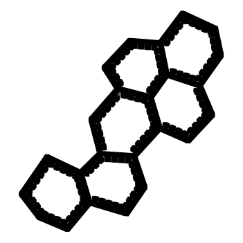 c1ccc2c(c1)ccc1c2cc2ccc3cccc4ccc1c2c34